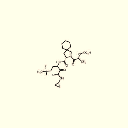 CC(F)(F)CCC(NC(=O)[C@@H]1CC2(CCCCC2)CN1C(=O)C(NC(=O)O)C(F)(F)F)C(=O)C(=O)NC1CC1